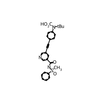 CC(C)(C)N(C(=O)O)c1ccc(C#Cc2cncc(C(=O)N=S(C)(=O)c3ccccc3)c2)cc1